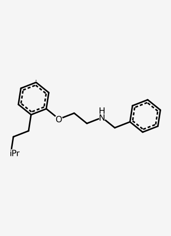 CC(C)CCc1cc[c]cc1OCCNCc1ccccc1